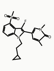 Cc1cc(-c2c(F)c3c(S(C)(=O)=O)cccc3n2CCC2CC2)cn(C)c1=O